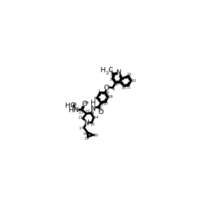 Cc1cc(COc2ccc(C(=O)N[C@@H]3CCN(CC4CC4)CC3C(=O)NO)cc2)c2ccccc2n1